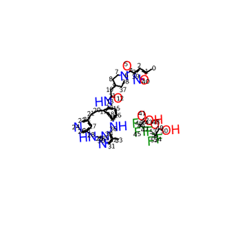 Cc1cc(C(=O)N2CCC(CC(=O)Nc3ccc4cc3CCc3cncc(c3)Nc3ncc(C)c(n3)N4)CC2)no1.O=C(O)C(F)(F)F.O=C(O)C(F)(F)F